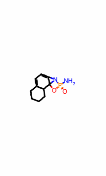 NP1(=O)OC23C(=CC=C4CCCCC42)N31